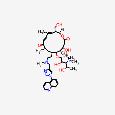 CCO[C@@H](O[C@H]1[C@@H](CCN(C)Cc2cn(-c3cccc4ncccc34)nn2)C[C@@H](C)C(=O)/C=C/C(C)=C/[C@H](CO)[C@@H](CC)OC(=O)C[C@@H](O)[C@@H]1C)C(O)C([C@@H](C)O)N(C)C